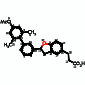 COc1cc(C)c(-c2cccc(C3Cc4cc(CCC(=O)O)ccc4O3)c2)c(C)c1